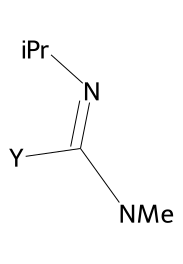 CN[C]([Y])=NC(C)C